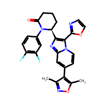 Cc1noc(C)c1-c1ccn2c(-c3ncco3)c([C@@H]3CCCC(=O)N3c3ccc(F)c(F)c3)nc2c1